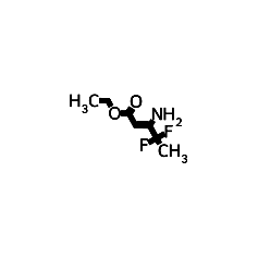 CCOC(=O)C=C(N)C(C)(F)F